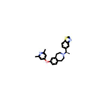 Cc1cc(Oc2ccc3c(c2)CCN([C@H](C)c2ccc4scnc4c2)CC3)cc(C)n1